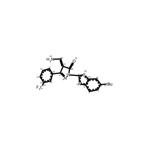 CC(C)(C)c1ccc2nc(N3N=C(c4cccc(C(F)(F)F)c4)/C(=C\N)C3=O)sc2c1